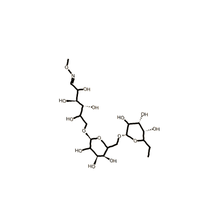 CCC1O[C@H](OCC2O[C@H](OCC(O)[C@@H](O)[C@@H](O)C(O)/C=N/OC)C(O)[C@H](O)[C@@H]2O)C(O)[C@H](O)[C@@H]1O